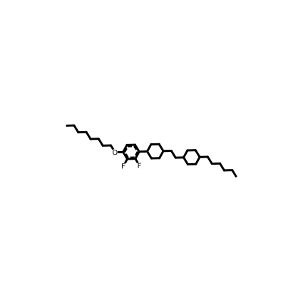 CCCCCCCCOc1ccc(C2CCC(CCC3CCC(CCCCCC)CC3)CC2)c(F)c1F